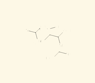 CC(=O)O.CC(C)CC(N)C(=O)O.CC(N)C(=O)O.NCC(=O)O